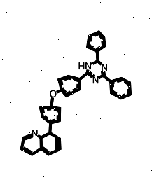 C1#CC(c2ccc(Oc3ccc(C4=NC(c5ccccc5)=NC(c5ccccc5)N4)cc3)cc2)C2N=CC=CC2=C1